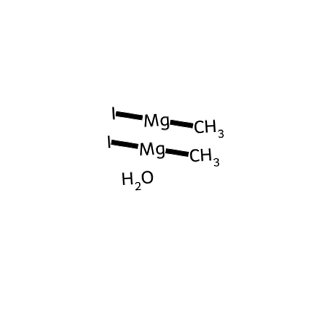 O.[CH3][Mg][I].[CH3][Mg][I]